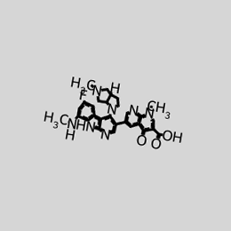 CNc1cc(F)cc2c1[nH]c1ncc(-c3cnc4c(c3)c(=O)c(C(=O)O)cn4C)c(N3CC[C@H]4CN(C)CC43)c12